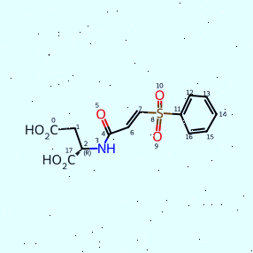 O=C(O)C[C@@H](NC(=O)C=CS(=O)(=O)c1ccccc1)C(=O)O